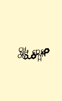 CCNC(=O)N1CCC(Cc2ccc(C(=O)Nc3nc4ccccc4s3)c(Cl)c2)CC1